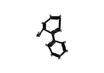 [Pd+][c]1ccccc1-c1ccccc1